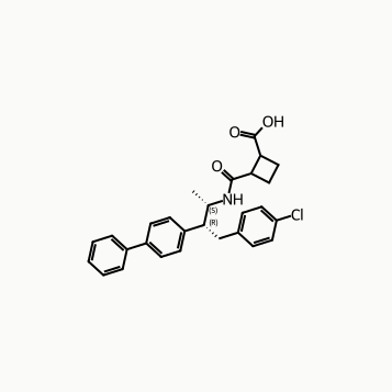 C[C@H](NC(=O)C1CCC1C(=O)O)[C@H](Cc1ccc(Cl)cc1)c1ccc(-c2ccccc2)cc1